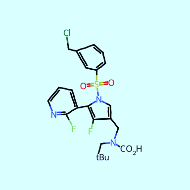 CC(C)(C)CN(Cc1cn(S(=O)(=O)c2cccc(CCl)c2)c(-c2cccnc2F)c1F)C(=O)O